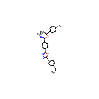 C=Cc1ccc(-c2nnc(-c3ccc(/C(=N/C)OC(=C)c4ccc(C(C)(C)C)cc4)cc3)o2)cc1